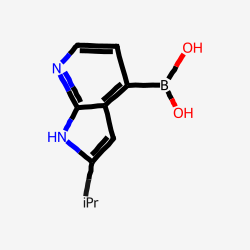 CC(C)c1cc2c(B(O)O)ccnc2[nH]1